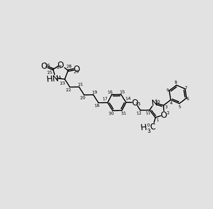 Cc1oc(-c2ccccc2)nc1COc1ccc(CCCCCC2NC(=O)OC2=O)cc1